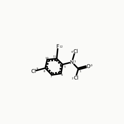 O=C(Cl)N(Cl)c1ccc(Cl)cc1F